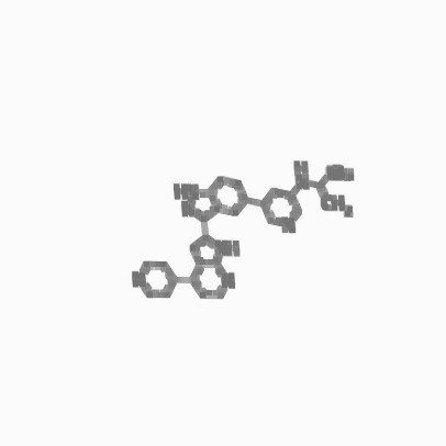 C=C(Nc1cncc(-c2ccc3[nH]nc(-c4cc5c(-c6ccncc6)ccnc5[nH]4)c3c2)c1)C(C)(C)C